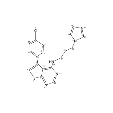 Clc1ccc(-c2csc3ncnc(NCCCn4ccnc4)c23)cc1